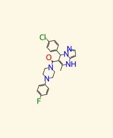 CC1=C(C(=O)N2CCN(c3ccc(F)cc3)CC2)C(c2ccc(Cl)cc2)n2nccc2N1